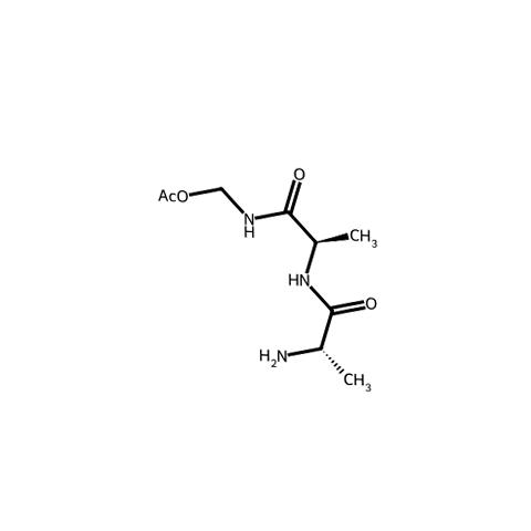 CC(=O)OCNC(=O)[C@@H](C)NC(=O)[C@H](C)N